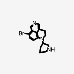 Brc1ccc2c3c(cncc13)CCN2C1CCCNC1